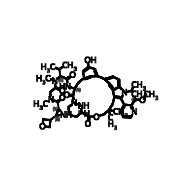 CCn1c(-c2cccnc2[C@H](C)OC)c2c3cc(ccc31)-c1cc(O)cc(c1)C[C@H](NC(=O)[C@H](C(C)C)N(C)C(=O)CN(C)C(=O)[C@H]1N[C@H]1C1COC1)C(=O)N1CCC[C@H](N1)C(=O)OCC(C)(C)C2